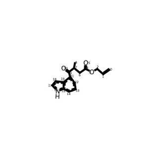 C=CCOC(=O)CC(C)C(=O)c1cccc2[nH]ccc12